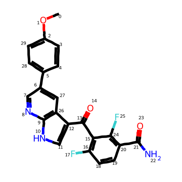 COc1ccc(-c2cnc3[nH]cc(C(=O)c4c(F)ccc(C(N)=O)c4F)c3c2)cc1